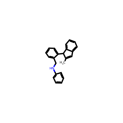 CC1=Cc2ccccc2C1c1ccccc1CNc1ccccc1